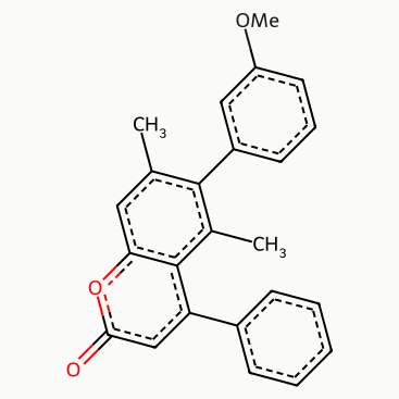 COc1cccc(-c2c(C)cc3oc(=O)cc(-c4ccccc4)c3c2C)c1